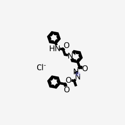 CC(/N=N/C(=O)c1ccc[n+](CC(=O)Nc2ccccc2)c1)OC(=O)c1ccccc1.[Cl-]